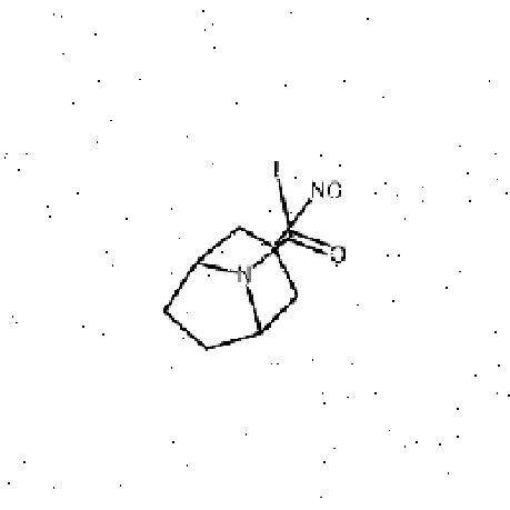 O=NC1CC2CCC(C1)N2C(=O)I